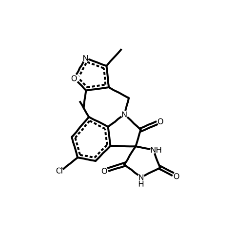 Cc1cc(Cl)cc2c1N(Cc1c(C)noc1C)C(=O)C21NC(=O)NC1=O